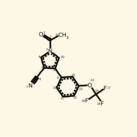 CC(=O)n1cc(C#N)c(-c2cccc(OC(F)(F)F)c2)c1